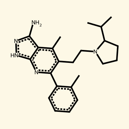 Cc1ccccc1-c1nc2[nH]nc(N)c2c(C)c1CCN1CCCC1C(C)C